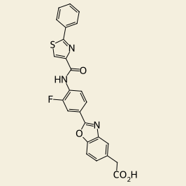 O=C(O)Cc1ccc2oc(-c3ccc(NC(=O)c4csc(-c5ccccc5)n4)c(F)c3)nc2c1